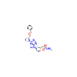 NS(=O)(=O)Cc1cccc(Nc2ncnc(N3CCCC3COCc3ccccc3)n2)c1